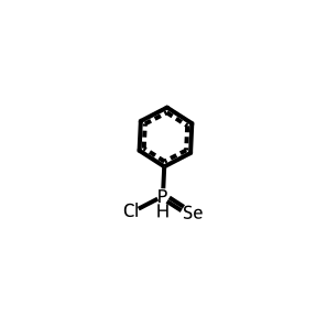 Cl[PH](=[Se])c1ccccc1